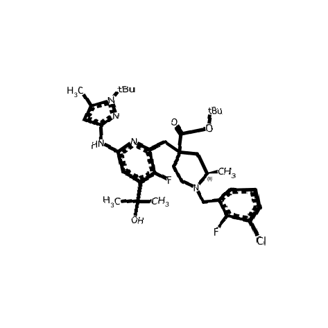 Cc1cc(Nc2cc(C(C)(C)O)c(F)c(CC3(C(=O)OC(C)(C)C)CCN(Cc4cccc(Cl)c4F)[C@H](C)C3)n2)nn1C(C)(C)C